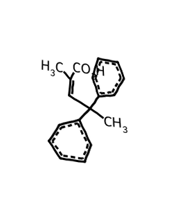 CC(=CC(C)(c1ccccc1)c1ccccc1)C(=O)O